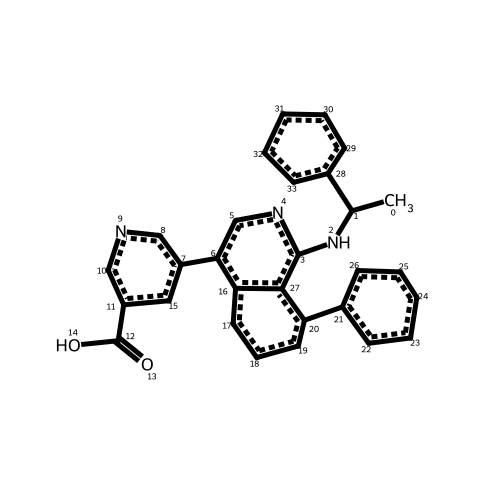 CC(Nc1ncc(-c2cncc(C(=O)O)c2)c2cccc(-c3ccccc3)c12)c1ccccc1